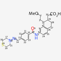 COCCC1c2cc(NC(=O)c3ccc(C=NN4CCSCC4)cc3)ccc2CCC1CC(=O)O